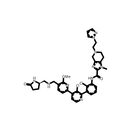 COc1nc(-c2ccnc(-c3cccc(NC(=O)c4nc5c(n4C)CCN(CCn4cccn4)C5)c3Cl)c2Cl)ccc1CNC[C@H]1CCC(=O)N1